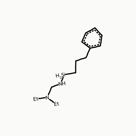 CCN(CC)CN[SiH2]CCCc1ccccc1